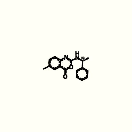 Cc1ccc2nc(N[C@@H](C)c3ccccc3)oc(=O)c2c1